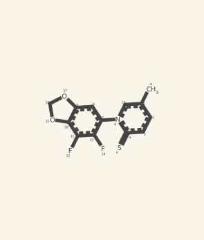 Cc1ccc(=S)n(-c2cc3c(c(F)c2F)OCO3)c1